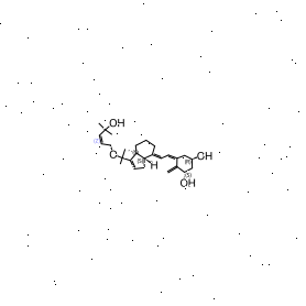 C=C1C(=CC=C2CCC[C@]3(C)C(C(C)(C)OC/C=C\C(C)(C)O)=CC[C@@H]23)C[C@@H](O)C[C@@H]1O